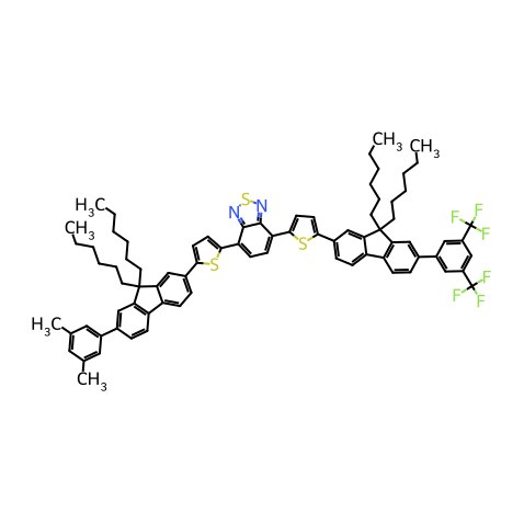 CCCCCCC1(CCCCCC)c2cc(-c3cc(C)cc(C)c3)ccc2-c2ccc(-c3ccc(-c4ccc(-c5ccc(-c6ccc7c(c6)C(CCCCCC)(CCCCCC)c6cc(-c8cc(C(F)(F)F)cc(C(F)(F)F)c8)ccc6-7)s5)c5nsnc45)s3)cc21